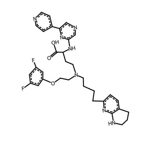 O=C(O)C(CCN(CCCCc1ccc2c(n1)NCCC2)CCOc1cc(F)cc(F)c1)Nc1cncc(-c2ccncc2)n1